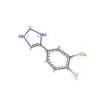 Clc1ccc(C2=CNCN2)cc1Cl